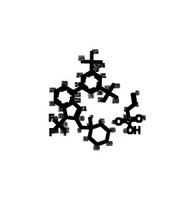 C=CCS(=O)(=O)O.CC1(CC2=Cc3c(-c4cc(C(C)(C)C)cc(C(C)(C)C)c4)cccc3C2C(F)(F)F)CCCCC1